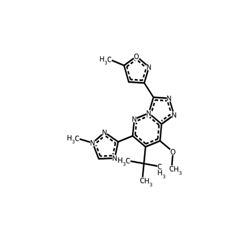 COc1c(C(C)(C)C)c(-c2ncn(C)n2)nn2c(-c3cc(C)on3)nnc12